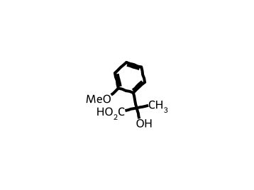 COc1ccccc1C(C)(O)C(=O)O